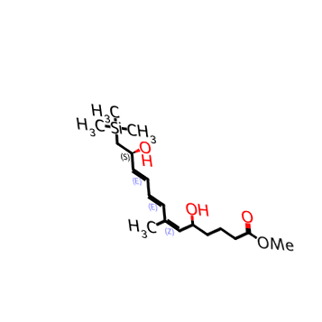 COC(=O)CCCC(O)\C=C(C)/C=C/C=C/[C@H](O)C[Si](C)(C)C